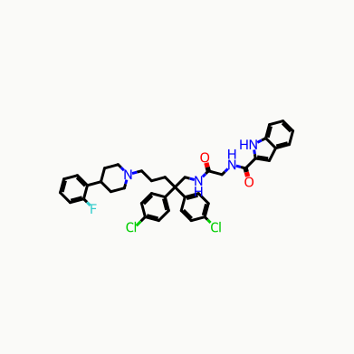 O=C(CNC(=O)c1cc2ccccc2[nH]1)NCC(CCCN1CCC(c2ccccc2F)CC1)(c1ccc(Cl)cc1)c1ccc(Cl)cc1